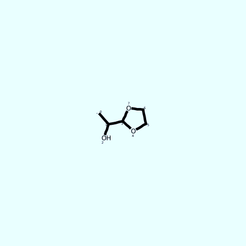 [CH2]C(O)C1OCCO1